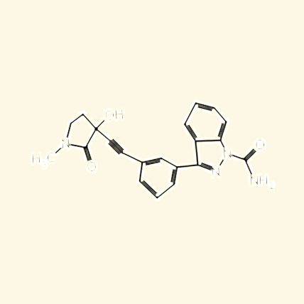 CN1CCC(O)(C#Cc2cccc(-c3nn(C(N)=O)c4ccccc34)c2)C1=O